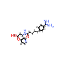 N=C(N)c1ccc(CCCCC(=O)NC(CC(=O)O)c2cccnc2)cc1